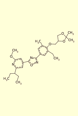 CCc1cc(-c2noc(-c3cc(OC)nc(C(CC)CC)c3)n2)cc(C)c1OCC1COC(C)(C)O1